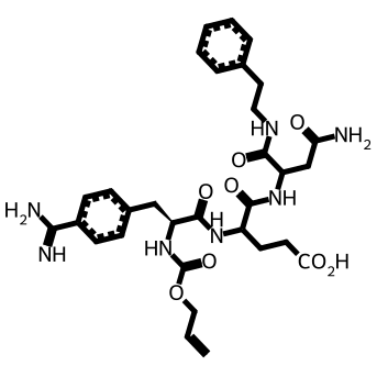 C=CCOC(=O)N[C@@H](Cc1ccc(C(=N)N)cc1)C(=O)NC(CCC(=O)O)C(=O)NC(CC(N)=O)C(=O)NCCc1ccccc1